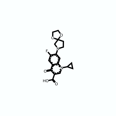 O=C(O)c1cn(C2CC2)c2cc(N3CCC4(C3)OCCO4)c(F)cc2c1=O